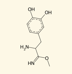 COC(=N)C(N)Cc1ccc(O)c(O)c1